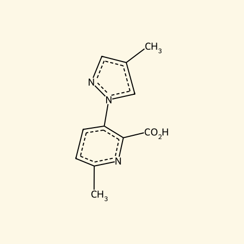 Cc1cnn(-c2ccc(C)nc2C(=O)O)c1